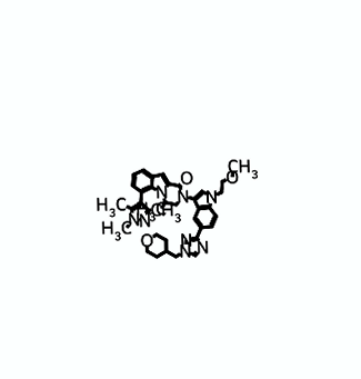 COCCn1cc(N2CC(C)n3c(cc4cccc(-c5c(C)nn(C)c5C)c43)C2=O)c2cc(-c3ncn(CC4CCOCC4)n3)ccc21